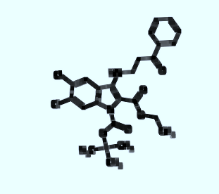 CCOC(=O)c1c(NCCC(=O)c2ccccc2)c2cc(Cl)c(Cl)cc2n1C(=O)OC(C)(C)C